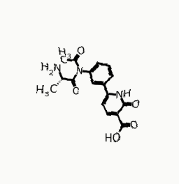 CC(=O)N(C(=O)[C@H](C)N)c1cccc(-c2ccc(C(=O)O)c(=O)[nH]2)c1